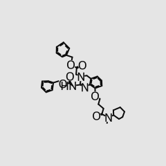 CN(C(=O)CCCOc1cccc2c1N=C(NC(=O)OCc1ccccc1)N(CC(=O)OCc1ccccc1)C2)C1CCCCC1